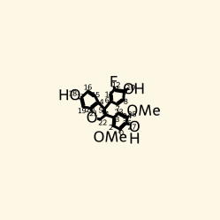 COc1cc(C2=C(c3ccc(O)c(F)c3)c3ccc(O)cc3OC2)cc(OC)c1O